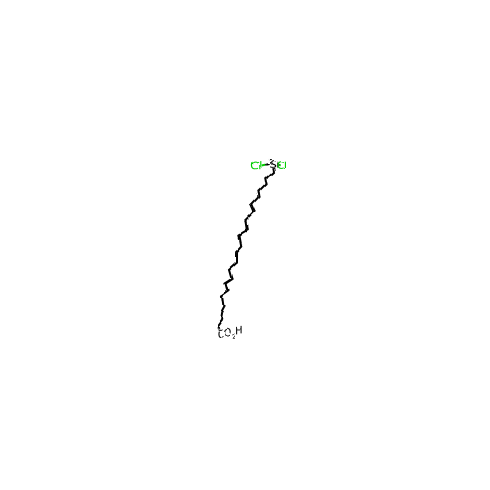 C[Si](Cl)(Cl)CCCCCCCCCCCCCCCCCCCCCCC(=O)O